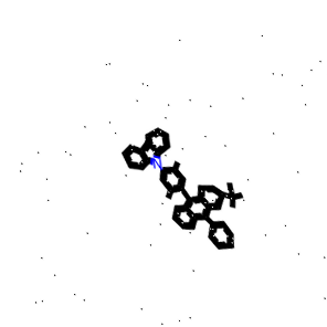 Cc1cc(-n2c3ccccc3c3ccccc32)c(C)cc1-c1c2ccccc2c(-c2ccccc2)c2cc(C(C)(C)C)ccc12